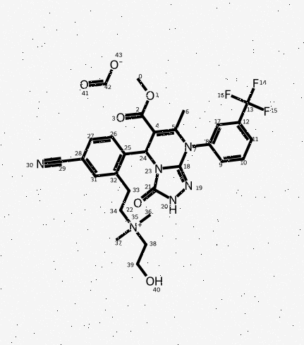 COC(=O)C1=C(C)N(c2cccc(C(F)(F)F)c2)c2n[nH]c(=O)n2C1c1ccc(C#N)cc1CC[N+](C)(C)CCO.O=C[O-]